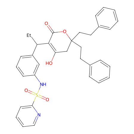 CCC(C1=C(O)CC(CCc2ccccc2)(CCc2ccccc2)OC1=O)c1cccc(NS(=O)(=O)c2ccccn2)c1